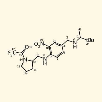 CC(NCc1ccc(NCC2CCCN2C(=O)C(F)(F)F)c([N+](=O)[O-])c1)C(C)(C)C